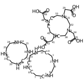 C1CNCCNCCCNCCNC1.C1CNCCNCCNCCN1.O=C(O)CN1CCN(CC(=O)O)CCN(CC(=O)O)CCN(CC(=O)O)CC1